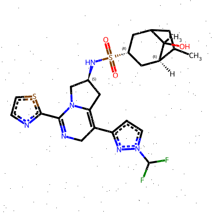 CC1CC2C[C@@H](S(=O)(=O)N[C@H]3CC4=C(c5ccn(C(F)F)n5)CN=C(c5nccs5)N4C3)C[C@H]1C2(C)O